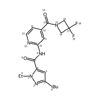 CCn1nc(C(C)(C)C)cc1C(=O)Nc1cc(C(=O)N2CC(F)(F)C2)ccn1